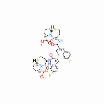 COC(=O)[C@@H]1CCC[C@@H]2SCC[C@H](NC(=O)[C@H](CC[C@H](Cc3ccc(F)cc3)C(=O)N[C@H]3CCS[C@H]4CCC[C@@H](C(=O)OC)N4C3=O)Cc3ccc(F)cc3)C(=O)N21